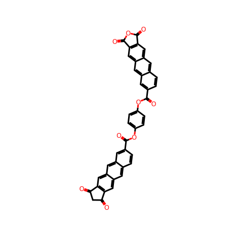 O=C(Oc1ccc(OC(=O)c2ccc3cc4cc5c(cc4cc3c2)C(=O)OC5=O)cc1)c1ccc2cc3cc4c(cc3cc2c1)C(=O)CC4=O